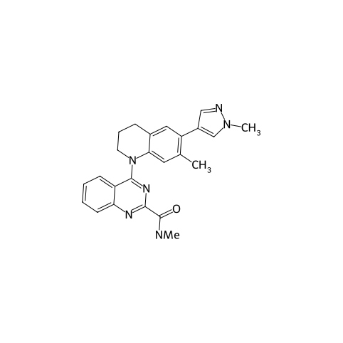 CNC(=O)c1nc(N2CCCc3cc(-c4cnn(C)c4)c(C)cc32)c2ccccc2n1